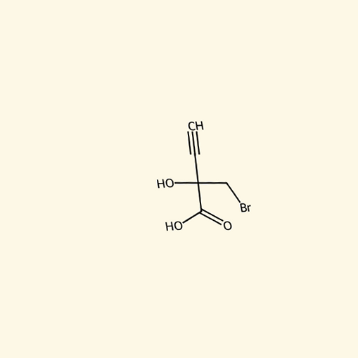 C#CC(O)(CBr)C(=O)O